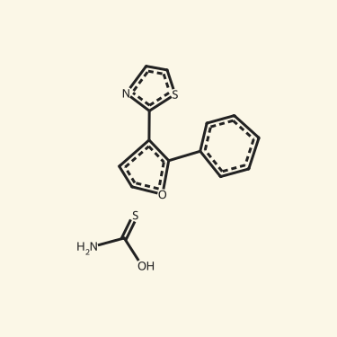 NC(O)=S.c1ccc(-c2occc2-c2nccs2)cc1